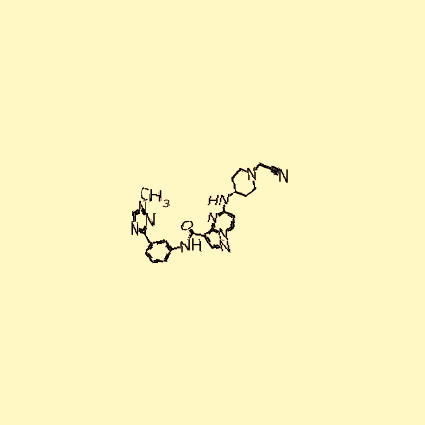 Cn1cnc(-c2cccc(NC(=O)c3cnn4ccc(NC5CCN(CC#N)CC5)nc34)c2)n1